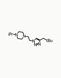 CC(C)N1CCN(CCn2cc(CC(C)(C)C)nn2)CC1